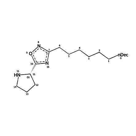 CCCCCCCCCCCCCCCCc1noc([C@@H]2CCCN2)n1